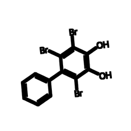 Oc1c(O)c(Br)c(-c2ccccc2)c(Br)c1Br